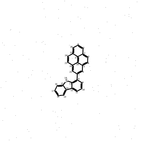 c1cc2ccc3cc(-c4cccc5c4sc4ccccc45)cc4ccc(c1)c2c34